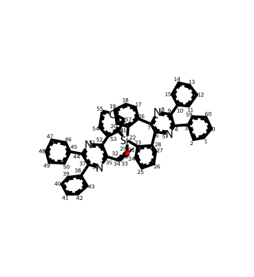 c1ccc(-c2nc3c(nc2-c2ccccc2)-c2ccccc2[Si]2(c4ccccc4-3)c3ccccc3-c3nc(-c4ccccc4)c(-c4ccccc4)nc3-c3ccccc32)cc1